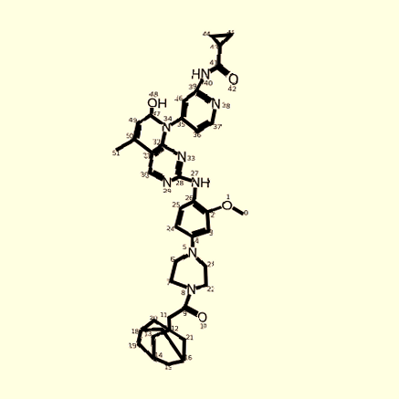 COc1cc(N2CCN(C(=O)CC34CC5CC(CC(C5)C3)C4)CC2)ccc1Nc1ncc2c(n1)N(c1ccnc(NC(=O)C3CC3)c1)C(O)C=C2C